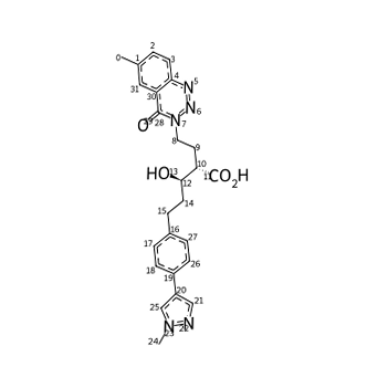 Cc1ccc2nnn(CC[C@H](C(=O)O)[C@H](O)CCc3ccc(-c4cnn(C)c4)cc3)c(=O)c2c1